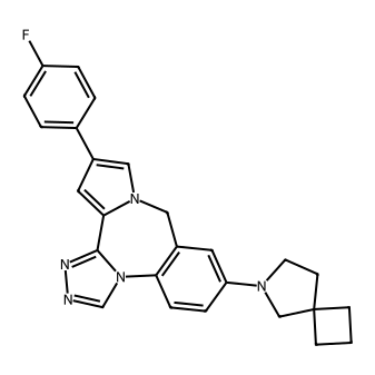 Fc1ccc(-c2cc3n(c2)Cc2cc(N4CCC5(CCC5)C4)ccc2-n2cnnc2-3)cc1